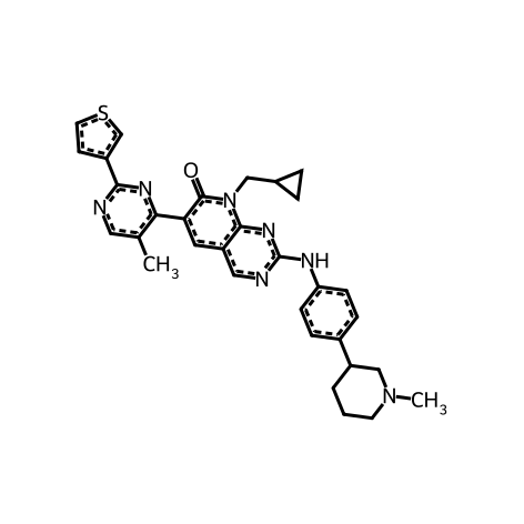 Cc1cnc(-c2ccsc2)nc1-c1cc2cnc(Nc3ccc(C4CCCN(C)C4)cc3)nc2n(CC2CC2)c1=O